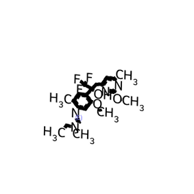 CCN(C)/C=N/c1cc(OC)c(C(O)(Cc2cc(C)nc(OC)n2)C(F)(F)F)cc1C